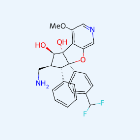 COc1cncc2c1[C@]1(O)[C@H](O)[C@H](CN)[C@@H](c3ccccc3)[C@]1(c1ccc(C(F)F)cc1)O2